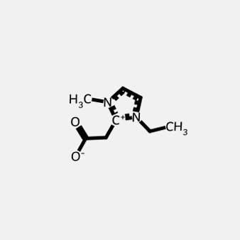 CCn1ccn(C)[c+]1CC(=O)[O-]